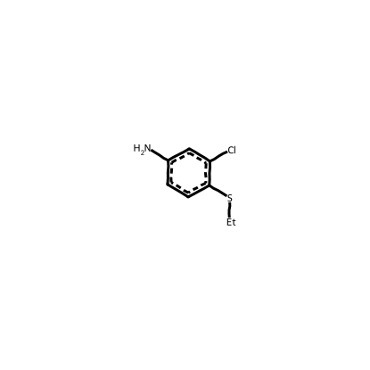 CCSc1ccc(N)cc1Cl